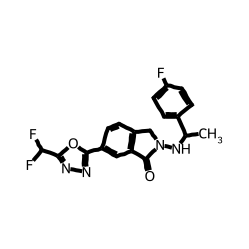 CC(NN1Cc2ccc(-c3nnc(C(F)F)o3)cc2C1=O)c1ccc(F)cc1